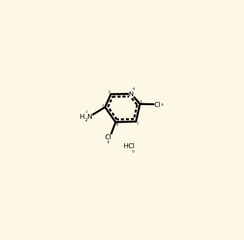 Cl.Nc1cnc(Cl)cc1Cl